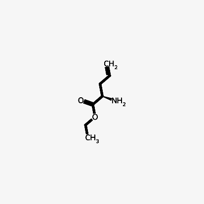 C=CC[C@@H](N)C(=O)OCC